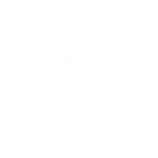 C#C[C@](C)(c1ccc(F)cc1)c1csc(NC(=O)NCCO)n1